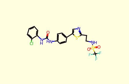 O=C(Nc1ccc(-c2cnc(CCNS(=O)(=O)C(F)(F)F)s2)cc1)Nc1ccccc1Cl